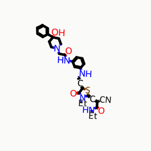 CCNC(=O)C(=C=c1sc(=C=CNc2cccc(NC(=O)CN3CCC(O)(c4ccccc4)CC3)c2)c(=O)n1CC)C#N